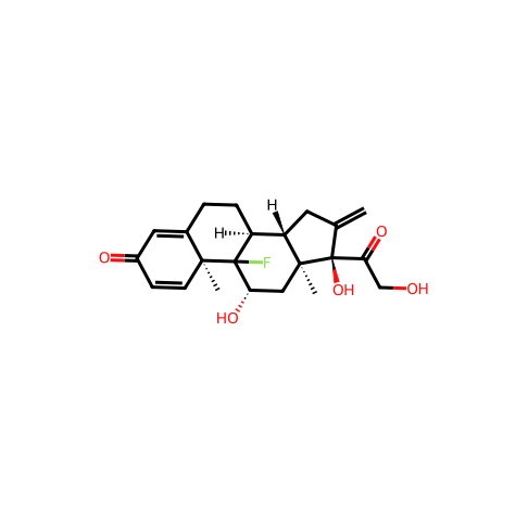 C=C1C[C@H]2[C@@H]3CCC4=CC(=O)C=C[C@]4(C)C3(F)[C@@H](O)C[C@]2(C)[C@@]1(O)C(=O)CO